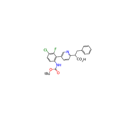 CC(C)(C)OC(=O)Nc1ccc(Cl)c(F)c1-c1ccc(C(Cc2ccccc2)C(=O)O)nc1